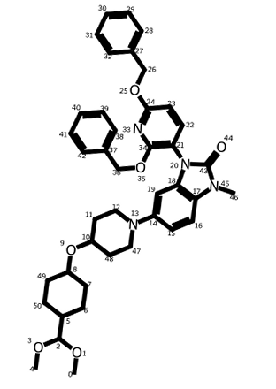 COC(OC)C1CCC(OC2CCN(c3ccc4c(c3)n(-c3ccc(OCc5ccccc5)nc3OCc3ccccc3)c(=O)n4C)CC2)CC1